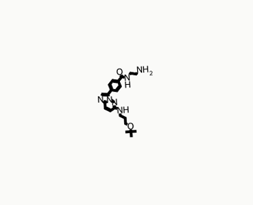 CC(C)(C)OCCCNc1ccc2ncc(-c3ccc(C(=O)NCCN)cc3)n2n1